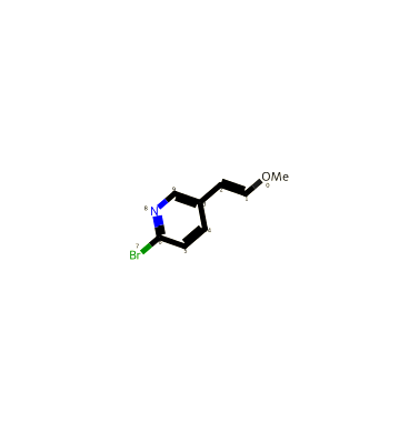 COC=Cc1ccc(Br)nc1